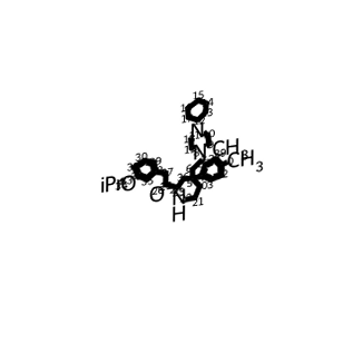 Cc1ccc(C2(CCN3CCN(C4CCCCC4)CC3)CCCNC(C(=O)Cc3cccc(OC(C)C)c3)C2)cc1C